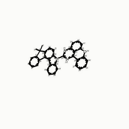 CC1(C)c2ccccc2-c2c1ccc1c2c2ccccc2n1-c1nc2c3c(cccc3n1)Oc1ccccc1-2